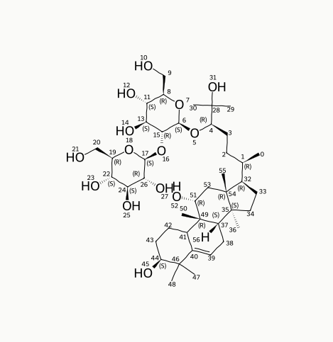 C[C@H](CC[C@@H](O[C@@H]1O[C@H](CO)[C@@H](O)[C@H](O)[C@H]1O[C@@H]1O[C@H](CO)[C@@H](O)[C@H](O)[C@H]1O)C(C)(C)O)[C@H]1CC[C@@]2(C)[C@@H]3CC=C4C(CC[C@H](O)C4(C)C)[C@]3(C)[C@H](O)C[C@]12C